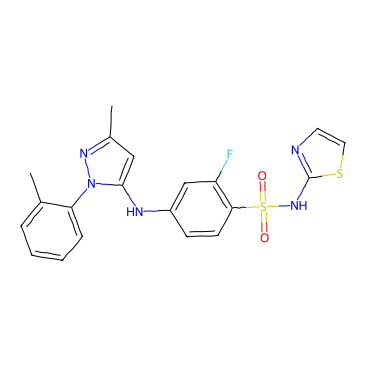 Cc1cc(Nc2ccc(S(=O)(=O)Nc3nccs3)c(F)c2)n(-c2ccccc2C)n1